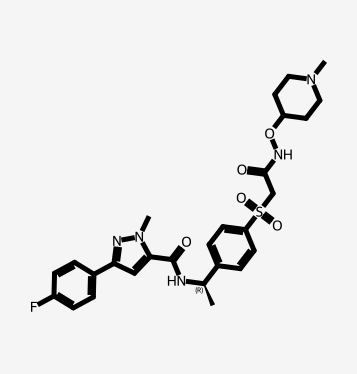 C[C@@H](NC(=O)c1cc(-c2ccc(F)cc2)nn1C)c1ccc(S(=O)(=O)CC(=O)NOC2CCN(C)CC2)cc1